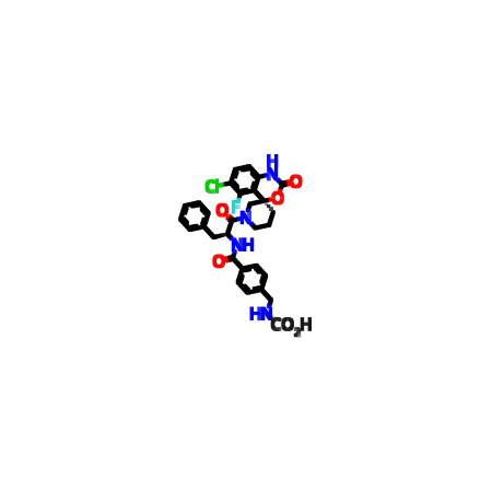 O=C(O)NCc1ccc(C(=O)N[C@@H](Cc2ccccc2)C(=O)N2CCC[C@@]3(C2)OC(=O)Nc2ccc(Cl)c(F)c23)cc1